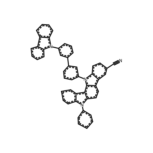 N#Cc1ccc2c(c1)c1ccc3c(c4ccccc4n3-c3ccccc3)c1n2-c1cccc(-c2cccc(-n3c4ccccc4c4ccccc43)c2)c1